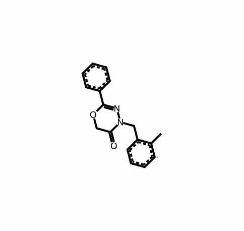 Cc1[c]cccc1CN1N=C(c2ccccc2)OCC1=O